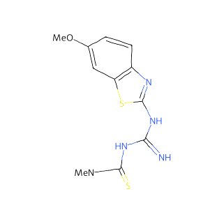 CNC(=S)NC(=N)Nc1nc2ccc(OC)cc2s1